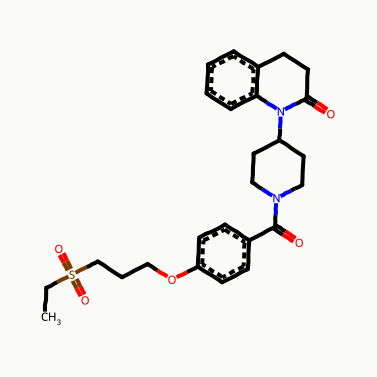 CCS(=O)(=O)CCCOc1ccc(C(=O)N2CCC(N3C(=O)CCc4ccccc43)CC2)cc1